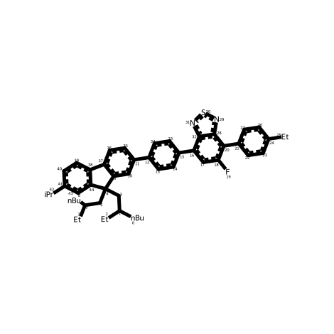 CCCCC(CC)CC1(CC(CC)CCCC)c2cc(-c3ccc(-c4cc(F)c(-c5ccc(CC)cc5)c5nsnc45)cc3)ccc2-c2ccc(C(C)C)cc21